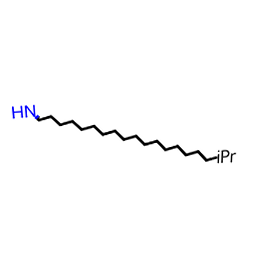 CC(C)CCCCCCCCCCCCCCCCC=N